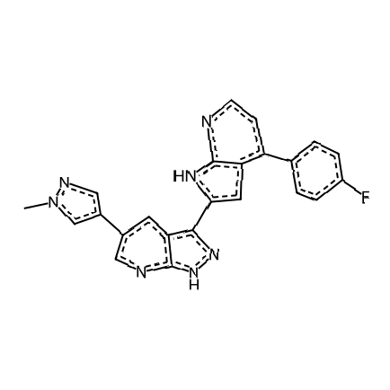 Cn1cc(-c2cnc3[nH]nc(-c4cc5c(-c6ccc(F)cc6)ccnc5[nH]4)c3c2)cn1